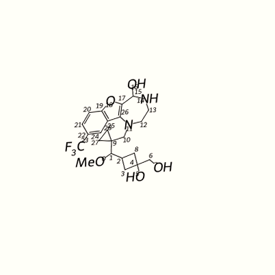 COC(C1CC(O)(CO)C1)C1(CN2CCNC(O)c3oc4ccc(C(F)(F)F)cc4c32)CC1